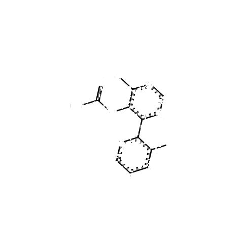 NC(=O)Oc1c(Cl)ncnc1-c1ncccc1F